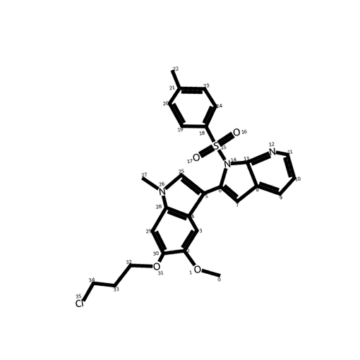 COc1cc2c(-c3cc4cccnc4n3S(=O)(=O)c3ccc(C)cc3)cn(C)c2cc1OCCCCl